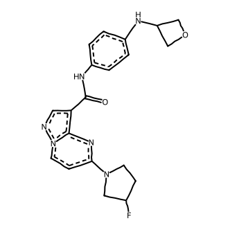 O=C(Nc1ccc(NC2COC2)cc1)c1cnn2ccc(N3CCC(F)C3)nc12